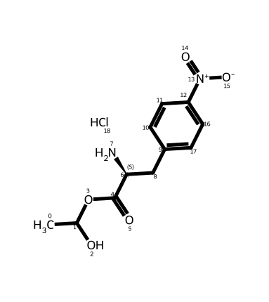 CC(O)OC(=O)[C@@H](N)Cc1ccc([N+](=O)[O-])cc1.Cl